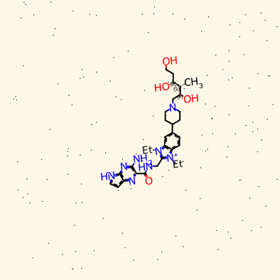 CCn1c(CNC(=O)c2nc3cc[nH]c3nc2N)[n+](CC)c2ccc(C3CCN(C[C@H](O)[C@@H](C)[C@H](O)CCO)CC3)cc21